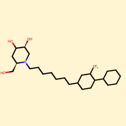 OC[C@H]1CC(O)[C@@H](O)CN1CCCCCCCC1CCC(C2CCCCC2)C(C(F)(F)F)C1